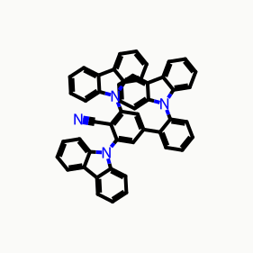 N#Cc1c(-n2c3ccccc3c3ccccc32)cc(-c2ccccc2-n2c3ccccc3c3ccccc32)cc1-n1c2ccccc2c2ccccc21